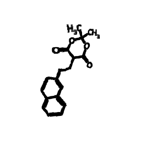 CC1(C)OC(=O)C(CCc2ccc3ccccc3c2)C(=O)O1